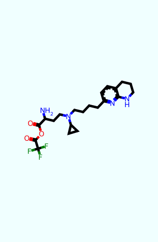 NC(CCN(CCCCc1ccc2c(n1)NCCC2)C1CC1)C(=O)OC(=O)C(F)(F)F